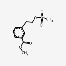 COC(=O)c1cccc(CCOS(C)(=O)=O)c1